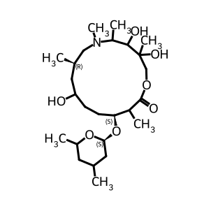 CC1CC(C)O[C@@H](O[C@H]2CCC(O)C[C@@H](C)CN(C)C(C)C(O)C(C)(O)COC(=O)C2C)C1